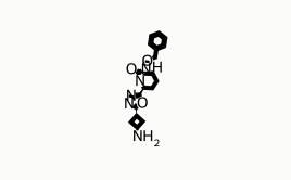 N[C@H]1C[C@H](c2nnc([C@@H]3CC[C@@H]4CN3C(=O)N4OCc3ccccc3)o2)C1